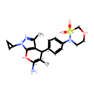 Cc1nn(C2CC2)c2c1C(c1ccc(N3CCOCS3(=O)=O)cc1)C(C#N)=C(N)O2